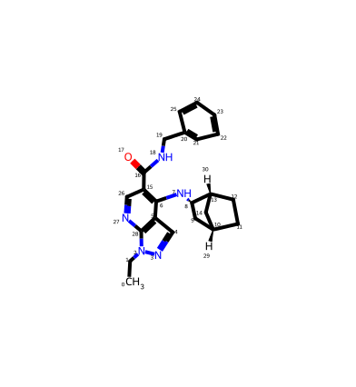 CCn1ncc2c(N[C@H]3C[C@H]4CC[C@@H]3C4)c(C(=O)NCc3ccccc3)cnc21